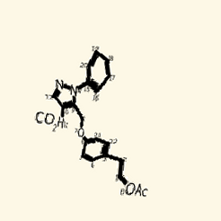 CC(=O)OCCc1ccc(OCc2c(C(=O)O)cnn2-c2ccccc2)cc1